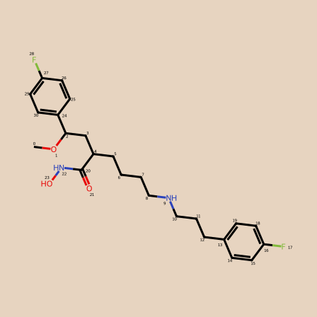 COC(CC(CCCCNCCCc1ccc(F)cc1)C(=O)NO)c1ccc(F)cc1